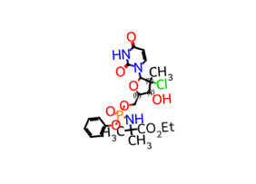 CCOC(=O)C(C)(C)NP(=O)(OC[C@H]1OC(n2ccc(=O)[nH]c2=O)[C@](C)(Cl)[C@@H]1O)Oc1ccccc1